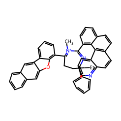 CCC1(c2ccccc2)CCC(c2cccc3c2oc2cc4ccccc4cc23)=[N+](C)C(c2cccc3ccc4ccc5ncccc5c4c23)=N1